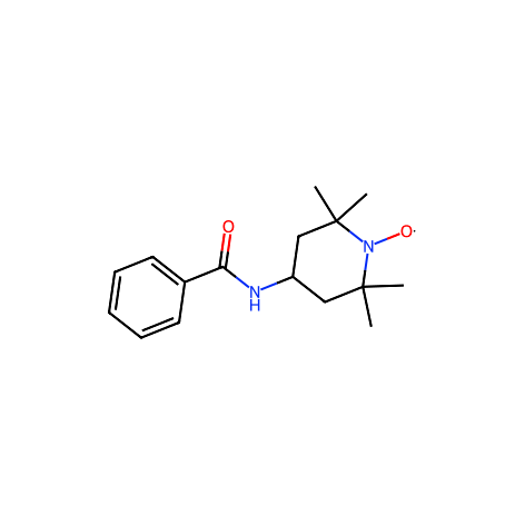 CC1(C)CC(NC(=O)c2ccccc2)CC(C)(C)N1[O]